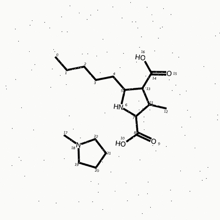 CCCCCC1NC(C(=O)O)C(C)C1C(=O)O.CN1CCCC1